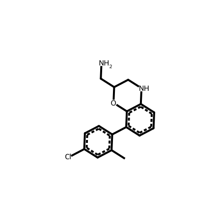 Cc1cc(Cl)ccc1-c1cccc2c1OC(CN)CN2